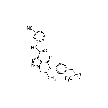 CC1Cn2ncc(C(=O)Nc3cccc(C#N)c3)c2C(=O)N1c1ccc(CC2(C(F)(F)F)CC2)cc1